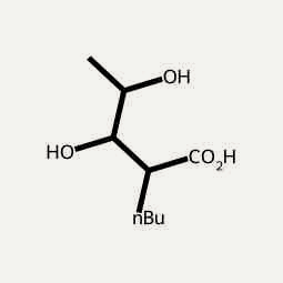 CCCCC(C(=O)O)C(O)C(C)O